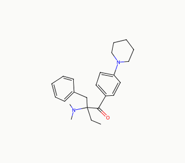 CCC(Cc1ccccc1)(C(=O)c1ccc(N2CCCCC2)cc1)N(C)C